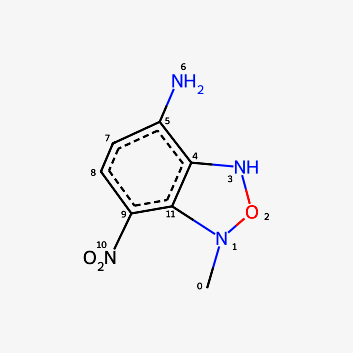 CN1ONc2c(N)ccc([N+](=O)[O-])c21